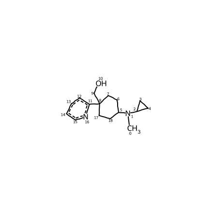 CN(C1CC1)C1CCC(CO)(c2ccccn2)CC1